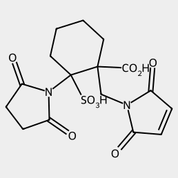 O=C1C=CC(=O)N1CC1(C(=O)O)CCCCC1(N1C(=O)CCC1=O)S(=O)(=O)O